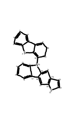 C1=c2c(sc3ccccc23)=C(n2c3ccccc3c3cc4sccc4cc32)CC1